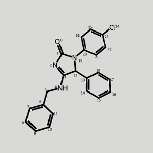 O=C1N=C(NCc2ccccc2)C(c2ccccc2)N1c1ccc(Cl)cc1